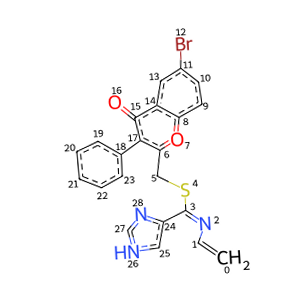 C=C/N=C(/SCc1oc2ccc(Br)cc2c(=O)c1-c1ccccc1)c1c[nH]cn1